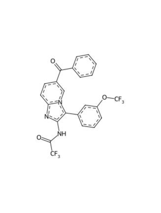 O=C(c1ccccc1)c1ccc2nc(NC(=O)C(F)(F)F)c(-c3cccc(OC(F)(F)F)c3)n2c1